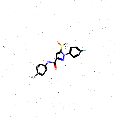 Cc1ccc(NC(=O)c2cc([S+](C)[O-])n(-c3ccc(F)cc3)n2)cc1